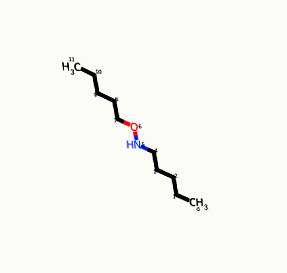 CCCCCNOCCCCC